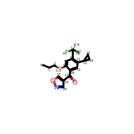 CCCSc1cc(C(F)(F)F)c(C2CC2)cc1C(=O)c1cnoc1